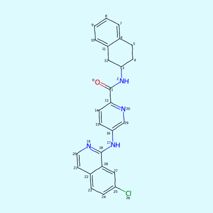 O=C(NC1CCc2ccccc2C1)c1ccc(Nc2nccc3ccc(Cl)cc23)cn1